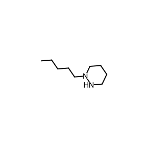 CCCCCN1CCCCN1